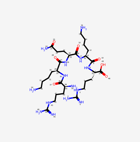 N=C(N)NCCC[C@H](NC(=O)[C@H](CCCCN)NC(=O)[C@H](CCC(N)=O)NC(=O)[C@H](CCCCN)NC(=O)[C@@H](N)CCCNC(=N)N)C(=O)O